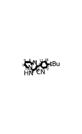 CC(C)(C)c1ccc(-c2nc3ccccn3c(=N)c2C#N)cc1